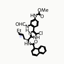 CC/C=C/C[C@H](NC(=O)c1cccc2ccccc12)c1nc(-c2ccc(NC(=O)OC)cc2NC=O)c(Cl)[nH]1